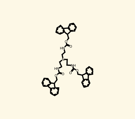 O=C(NCCN(CCNC(=O)OCC1c2ccccc2-c2ccccc21)CCNC(=O)OCC1c2ccccc2-c2ccccc21)OCC1c2ccccc2-c2ccccc21